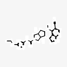 CCOc1noc(NC(=O)N2C[C@H]3C[C@@H](N(C)c4c(C#N)cnc5[nH]ccc45)C[C@H]3C2)n1